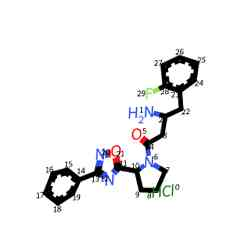 Cl.NC(CC(=O)N1CCCC1c1nc(-c2ccccc2)no1)Cc1ccccc1F